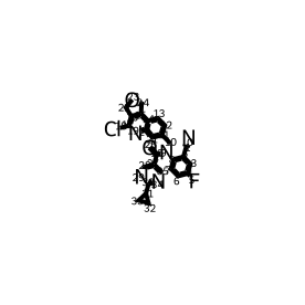 N#Cc1cc(F)ccc1N(Cc1ccc2c3c(c(Cl)nc2c1)COC3)C(=O)c1cnc(C2CC2)nc1